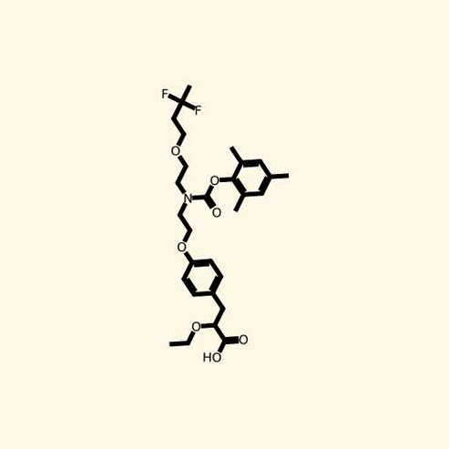 CCOC(Cc1ccc(OCCN(CCOCCC(C)(F)F)C(=O)Oc2c(C)cc(C)cc2C)cc1)C(=O)O